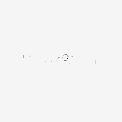 CCCCC1CCC(c2ccc(C3CCC(C4CCC(CCC)CC4)OC3)c(F)c2C(F)F)CC1